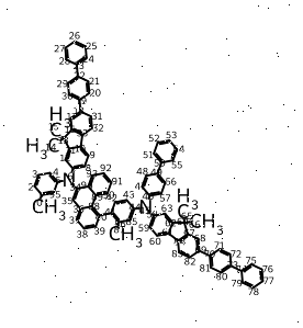 Cc1cccc(N(c2ccc3c(c2)C(C)(C)c2cc(-c4ccc(-c5ccccc5)cc4)ccc2-3)c2cc3cccc(-c4ccc(N(c5ccc(-c6ccccc6)cc5)c5ccc6c(c5)C(C)(C)c5cc(-c7ccc(-c8ccccc8)cc7)ccc5-6)cc4C)c3c3ccccc23)c1